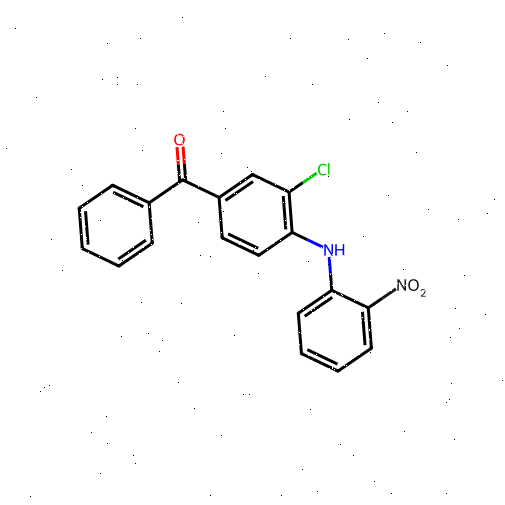 O=C(c1ccccc1)c1ccc(Nc2ccccc2[N+](=O)[O-])c(Cl)c1